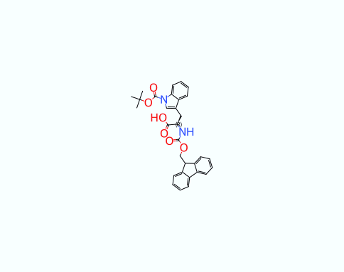 CC(C)(C)OC(=O)n1cc(C[C@@H](NC(=O)OCC2c3ccccc3-c3ccccc32)C(=O)O)c2ccccc21